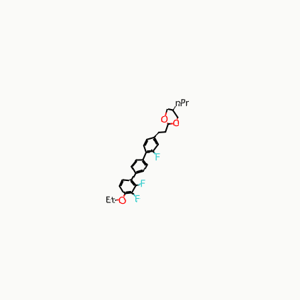 CCCC1COC(CCc2ccc(-c3ccc(-c4ccc(OCC)c(F)c4F)cc3)c(F)c2)OC1